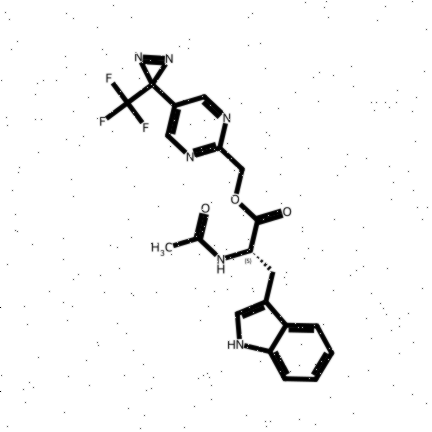 CC(=O)N[C@@H](Cc1c[nH]c2ccccc12)C(=O)OCc1ncc(C2(C(F)(F)F)N=N2)cn1